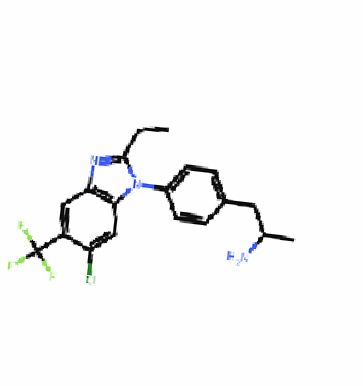 CCc1nc2cc(C(F)(F)F)c(Cl)cc2n1-c1ccc(CC(C)N)cc1